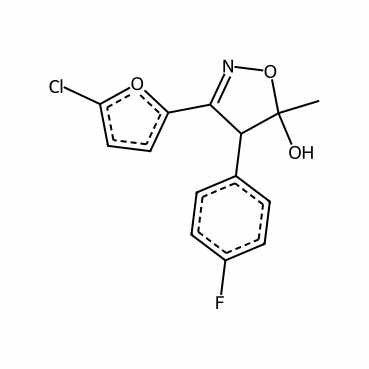 CC1(O)ON=C(c2ccc(Cl)o2)C1c1ccc(F)cc1